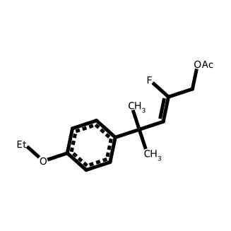 CCOc1ccc(C(C)(C)C=C(F)COC(C)=O)cc1